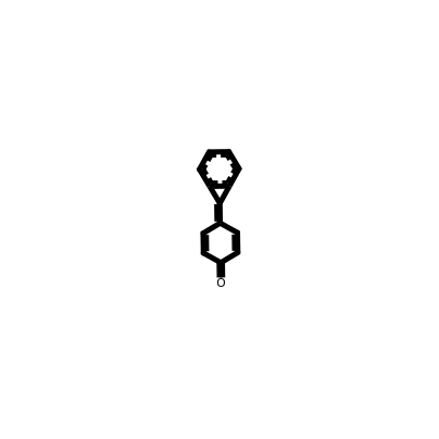 O=C1C=CC(=C2c3ccccc32)C=C1